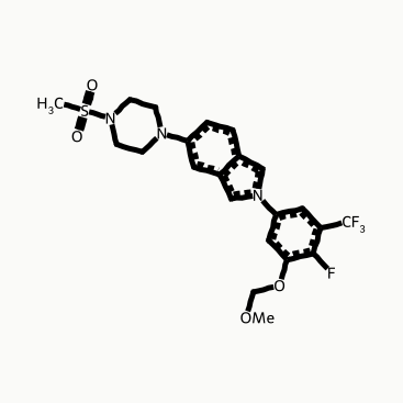 COCOc1cc(-n2cc3ccc(N4CCN(S(C)(=O)=O)CC4)cc3c2)cc(C(F)(F)F)c1F